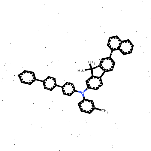 Cc1cccc(N(c2ccc(-c3ccc(-c4ccccc4)cc3)cc2)c2ccc3c(c2)C(C)(C)c2cc(-c4cccc5ccccc45)ccc2-3)c1